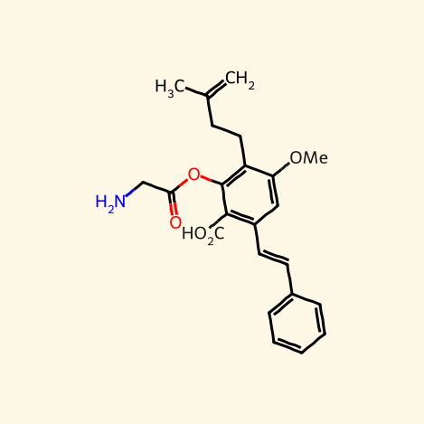 C=C(C)CCc1c(OC)cc(/C=C/c2ccccc2)c(C(=O)O)c1OC(=O)CN